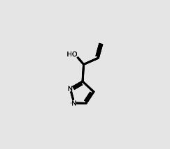 C=CC(O)C1=N[N]C=C1